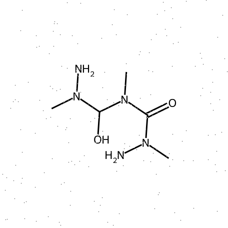 CN(N)C(=O)N(C)C(O)N(C)N